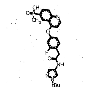 CC(C)(C)n1cc(NC(=O)Cc2ccc(Oc3ccnc4ccc(P(C)(C)=O)cc34)cc2F)cn1